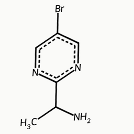 CC(N)c1ncc(Br)cn1